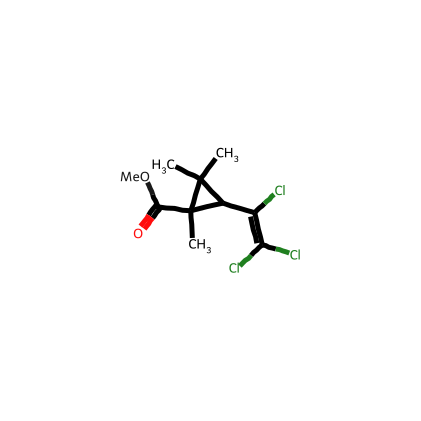 COC(=O)C1(C)C(C(Cl)=C(Cl)Cl)C1(C)C